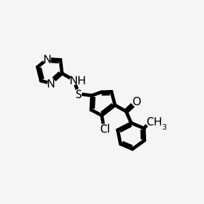 Cc1ccccc1C(=O)c1ccc(SNc2cnccn2)cc1Cl